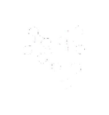 Cn1c2c(-c3cc4c5c(c3)Oc3ccccc3B5c3ccccc3O4)cccc2c2c1c(-c1cc3c4c(c1)Oc1ccccc1B4c1ccccc1O3)cc1c3ccccc3n(-c3ccccc3)c12